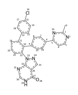 Cc1nccc(-c2ccc(-c3c(-c4ccc(Cl)cc4)cccc3-n3ncc4c(=O)[nH]cnc43)cc2)n1